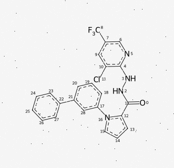 O=C(NNc1ncc(C(F)(F)F)cc1Cl)c1cccn1-c1cccc(-c2ccccc2)c1